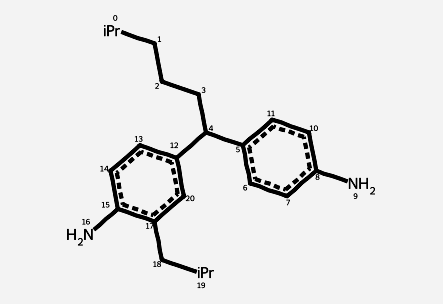 CC(C)CCCC(c1ccc(N)cc1)c1ccc(N)c(CC(C)C)c1